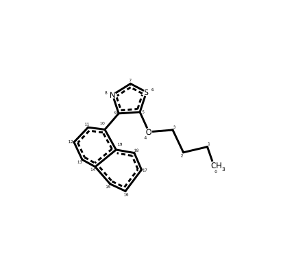 CCCCOc1s[c]nc1-c1cccc2ccccc12